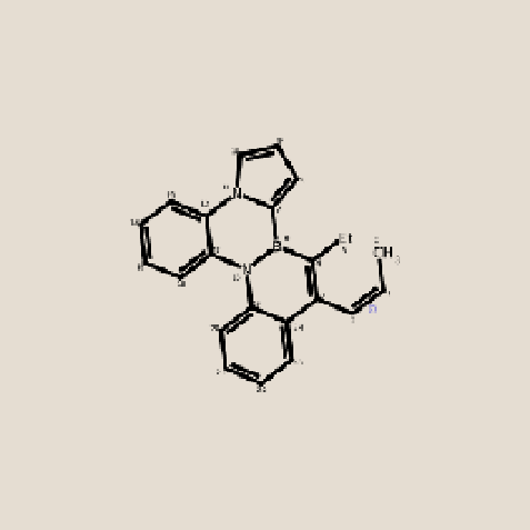 C/C=C\C1=C(CC)B2c3cccn3-c3ccccc3N2c2ccccc21